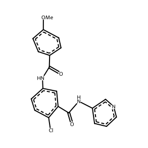 COc1ccc(C(=O)Nc2ccc(Cl)c(C(=O)Nc3cccnc3)c2)cc1